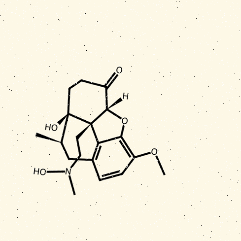 COc1ccc2c3c1O[C@H]1C(=O)CC[C@@](O)([C@H](C)C2)[C@@]31CCN(C)O